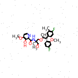 COc1cc(F)ccc1[C@@H](c1ccc(F)c(C)c1)[C@H](C)OC[C@@](C)(C=O)NC(=O)c1nccc(OC)c1O